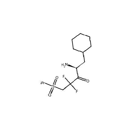 CC(C)S(=O)(=O)CC(F)(F)C(=O)[C@@H](N)CC1CCCCC1